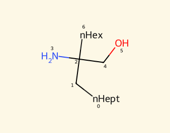 CCCCCCCCC(N)(CO)CCCCCC